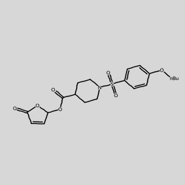 CCCCOc1ccc(S(=O)(=O)N2CCC(C(=O)OC3C=CC(=O)O3)CC2)cc1